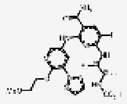 CC[C@@H](Nc1nc(Nc2cnc(OCCOC)c(-n3nccn3)c2)c(C(N)=O)cc1F)[C@H](C)NC(=O)O